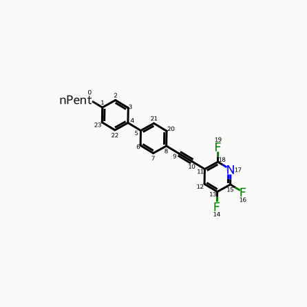 CCCCCc1ccc(-c2ccc(C#Cc3cc(F)c(F)nc3F)cc2)cc1